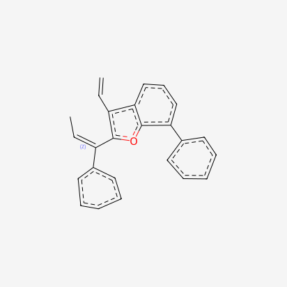 C=Cc1c(/C(=C\C)c2ccccc2)oc2c(-c3ccccc3)cccc12